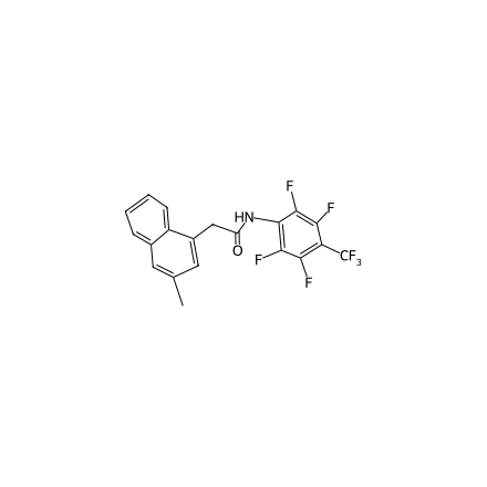 Cc1cc(CC(=O)Nc2c(F)c(F)c(C(F)(F)F)c(F)c2F)c2ccccc2c1